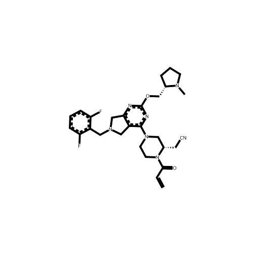 C=CC(=O)N1CCN(c2nc(OC[C@@H]3CCCN3C)nc3c2CN(Cc2c(F)cccc2F)C3)C[C@@H]1CC#N